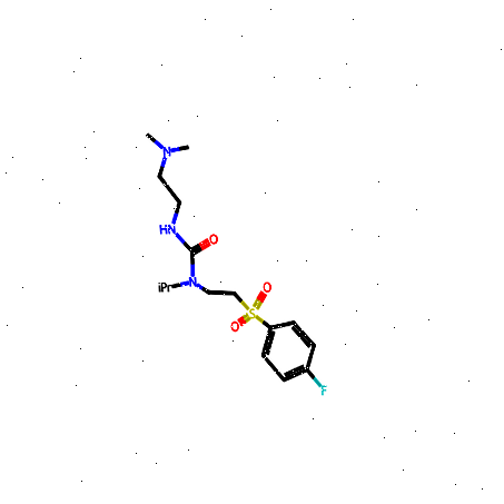 CC(C)N(CCS(=O)(=O)c1ccc(F)cc1)C(=O)NCCN(C)C